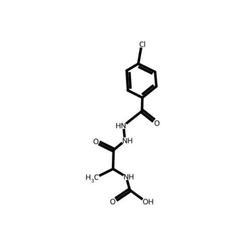 CC(NC(=O)O)C(=O)NNC(=O)c1ccc(Cl)cc1